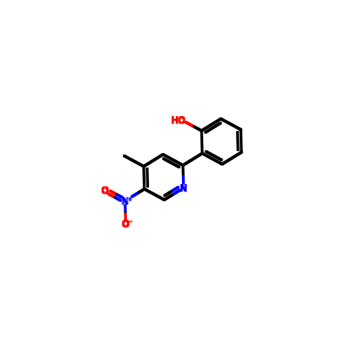 Cc1cc(-c2ccccc2O)ncc1[N+](=O)[O-]